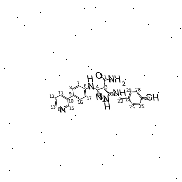 NC(=O)c1c(Nc2ccc(-c3cccnc3)cc2)n[nH]c1NCc1ccc(O)cc1